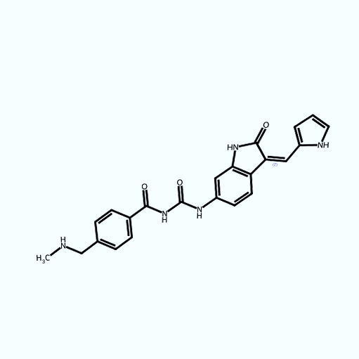 CNCc1ccc(C(=O)NC(=O)Nc2ccc3c(c2)NC(=O)/C3=C\c2ccc[nH]2)cc1